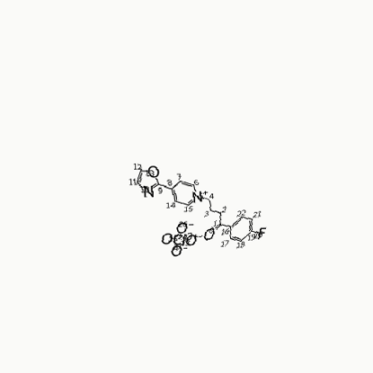 O=C(CCC[n+]1ccc(-c2ncco2)cc1)c1ccc(F)cc1.[O-][Cl+3]([O-])([O-])[O-]